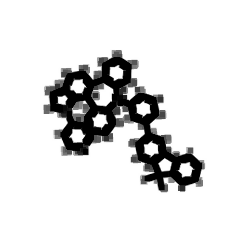 CC1(C)c2ccccc2-c2cc(-c3cccc(N4c5ccccc5-c5ccc6ccn(-c7ccncc7)c6c5-c5ccccc54)c3)ccc21